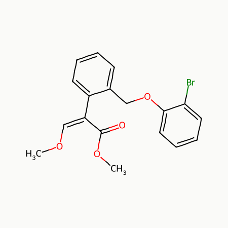 COC=C(C(=O)OC)c1ccccc1COc1ccccc1Br